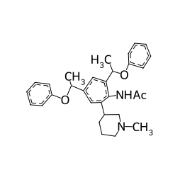 CC(=O)Nc1c(C2CCCN(C)C2)cc(C(C)Oc2ccccc2)cc1C(C)Oc1ccccc1